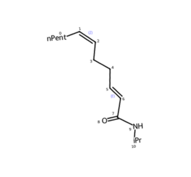 CCCCC/C=C\CC/C=C/C(=O)NC(C)C